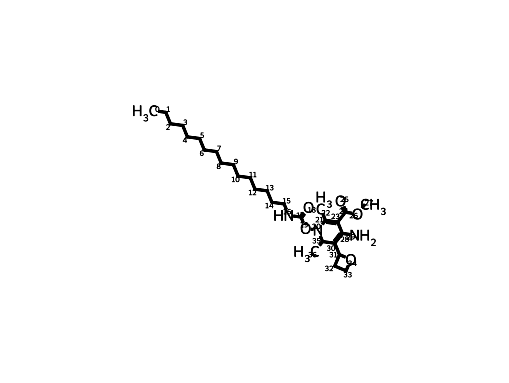 CCCCCCCCCCCCCCCCNC(=O)ON1C(C)=C(C(=O)OC)C(N)=C(C2CCO2)C1C